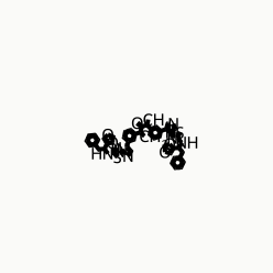 CC(C(=O)C(C)c1cccc(-c2cnc3sc(NC(Cc4ccccc4)C4=COCO4)nn23)c1)c1cccc(-c2cnc3sc(NC(Cc4ccccc4)C4=COCO4)nn23)c1